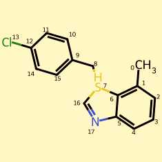 Cc1cccc2c1[SH](Cc1ccc(Cl)cc1)C=N2